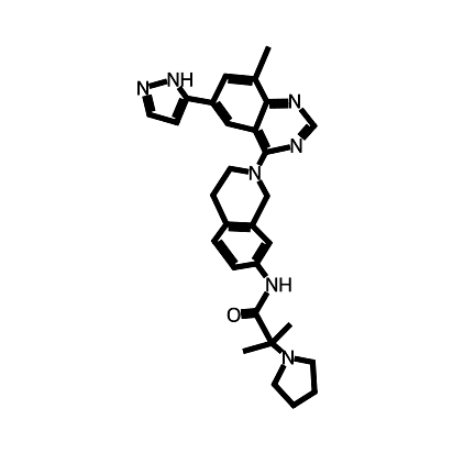 Cc1cc(-c2ccn[nH]2)cc2c(N3CCc4ccc(NC(=O)C(C)(C)N5CCCC5)cc4C3)ncnc12